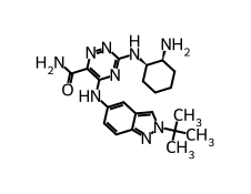 CC(C)(C)n1cc2cc(Nc3nc(N[C@@H]4CCCC[C@@H]4N)nnc3C(N)=O)ccc2n1